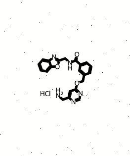 Cl.NCc1cc(OCc2cccc(C(=O)NCc3nc4ccccc4o3)c2)ncn1